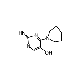 N=c1nc(N2CCCCC2)c(O)c[nH]1